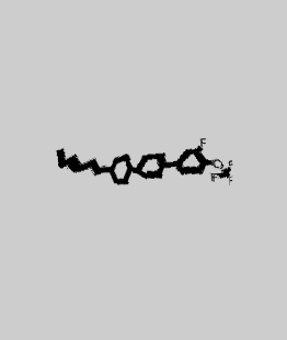 C=C/C=C/CCC1CCC(c2ccc(-c3ccc(OC(F)(F)F)c(F)c3)cc2)CC1